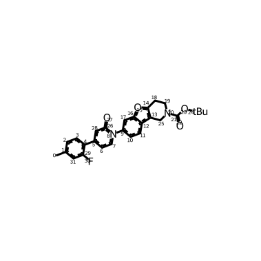 Cc1ccc(-c2ccn(-c3ccc4c5c(oc4c3)CCN(C(=O)OC(C)(C)C)C5)c(=O)c2)c(F)c1